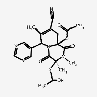 CC(=O)SC12CC(C#N)=C(C)C(c3cncnc3)N1C(=O)[C@](C)(SC(C)O)N(C)C2=O